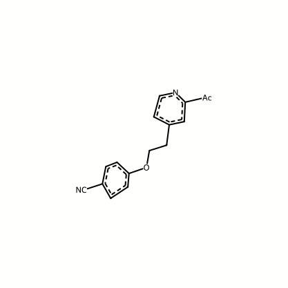 CC(=O)c1cc(CCOc2ccc(C#N)cc2)ccn1